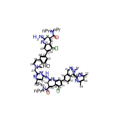 CCCN(CCC)C(=O)C1=Cc2c(Cl)cc(-c3ccc(C=O)c(/C=C\N(C)Cc4nc(C)cc(NC5=Nc6cc(-c7ccc(C=O)c(/C=N\N(C)Cc8nc(C)cc(C)n8)c7)cc(Cl)c6C=C(C(=O)N(CCC)CCC)C5)n4)c3)cc2N=C(N)C1